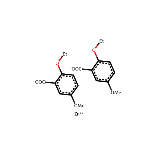 CCOc1ccc(OC)cc1C(=O)[O-].CCOc1ccc(OC)cc1C(=O)[O-].[Zn+2]